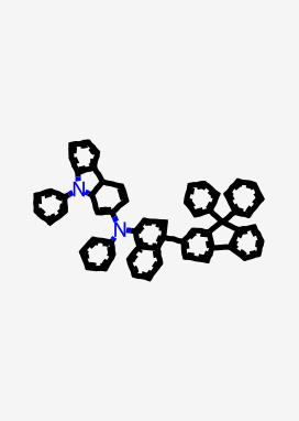 C1=CC2c3ccccc3N(c3ccccc3)C2C=C1N(c1ccccc1)c1ccc(-c2ccc3c(c2)C(c2ccccc2)(c2ccccc2)c2ccccc2-3)c2ccccc12